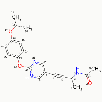 CC(=O)NC(C)C#Cc1cnc(Oc2ccc(OC(C)C)cc2)nc1